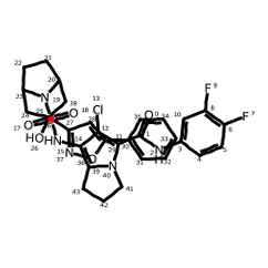 O=C(Nc1ccc(F)c(F)c1)c1c(Cl)c(NS(=O)(=O)N2C3CCC2CC(O)(c2cc(-c4ccccc4)on2)C3)c2n1CCC2